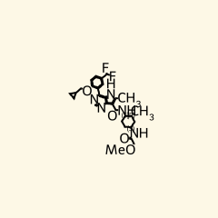 COCC(=O)N[C@H]1CC[C@H](NC(=O)c2c(C)[nH]c3c(-c4cc(C(F)F)ccc4OCC4CC4)ncnc23)[C@H](C)C1